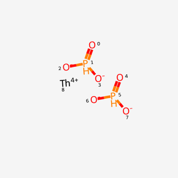 O=[PH]([O-])[O-].O=[PH]([O-])[O-].[Th+4]